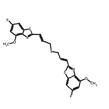 COc1cc(F)cc2sc(C=CCSCC=Cc3nc4c(OC)cc(F)cc4s3)nc12